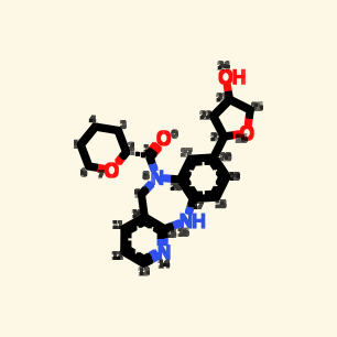 O=C([C@H]1CCCCO1)N1Cc2cccnc2Nc2ccc(C3CC(O)CO3)cc21